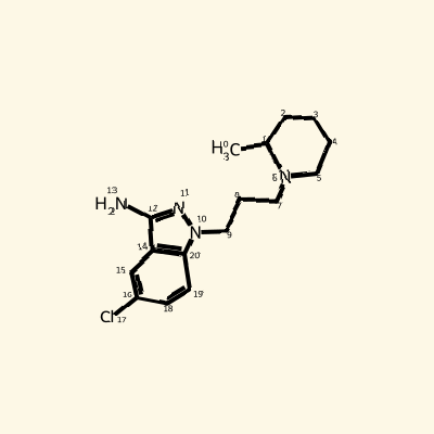 CC1CCCCN1CCCn1nc(N)c2cc(Cl)ccc21